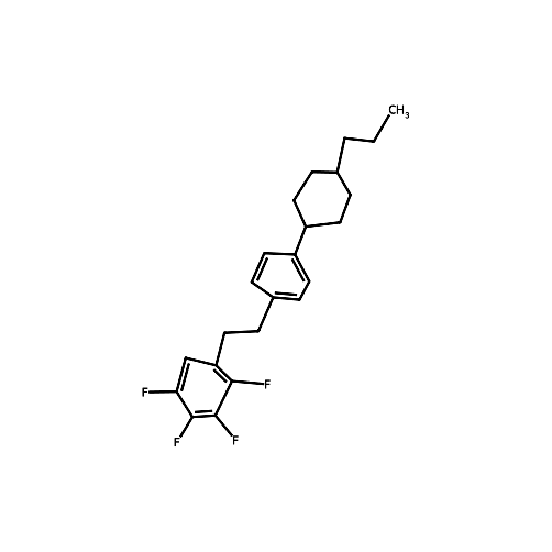 CCCC1CCC(c2ccc(CCc3cc(F)c(F)c(F)c3F)cc2)CC1